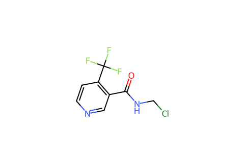 O=C(NCCl)c1cnccc1C(F)(F)F